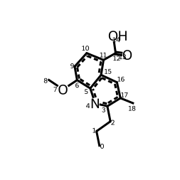 CCCc1nc2c(OC)ccc(C(=O)O)c2cc1C